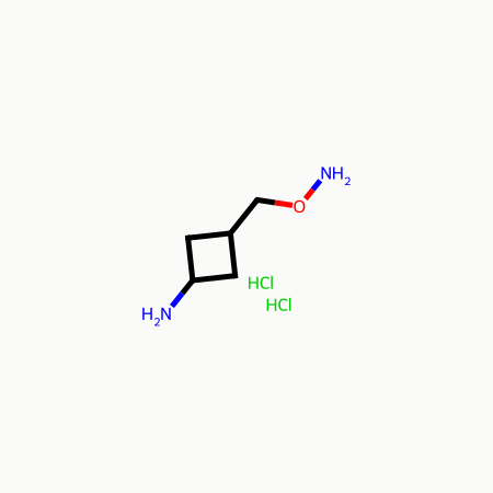 Cl.Cl.NOCC1CC(N)C1